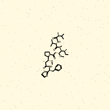 CC[C@H](C)[C@@H]([C@@H](CC(=O)N1CCCC1[C@H](OC)[C@@H](C)C(=O)N[C@@H](Cc1ccccc1)c1nccs1)OC)N(C)C(=O)[C@@H](NC(=O)[C@@H](C)C(C)C)C(C)C